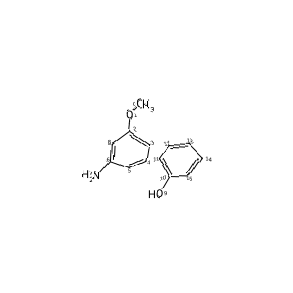 COc1cccc(N)c1.Oc1ccccc1